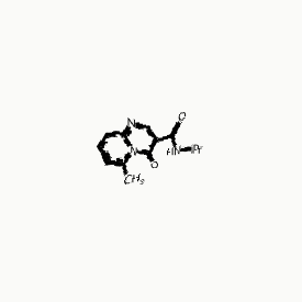 Cc1cccc2ncc(C(=O)NC(C)C)c(=O)n12